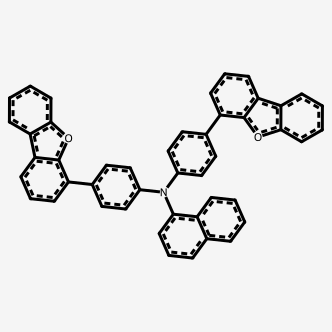 c1ccc2c(N(c3ccc(-c4cccc5c4oc4ccccc45)cc3)c3ccc(-c4cccc5c4oc4ccccc45)cc3)cccc2c1